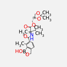 Cc1c(C(=O)N[C@@](C)(C(=O)OC[C@@H]2COC(C)(C)O2)C(C)C)ccc2c1B(O)OC2